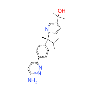 CC(C)[C@](C)(c1ccc(-c2ccc(N)nn2)cc1)c1ccc(C(C)(C)O)cn1